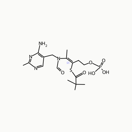 C/C(=C(\CCOP(=O)(O)O)SC(=O)C(C)(C)C)N(C=O)Cc1cnc(C)nc1N